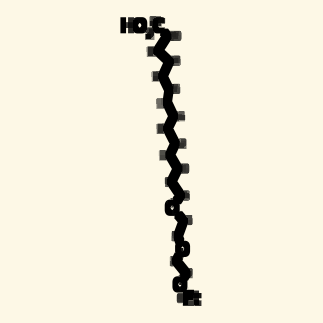 [CH2]COCCOCCOCCCCCCCCCCCCCC(=O)O